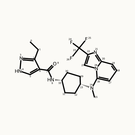 CCc1n[nH]cc1C(=O)N[C@H]1CC[C@@H](N(C)c2cccc3nc(C(F)(F)F)cn23)CC1